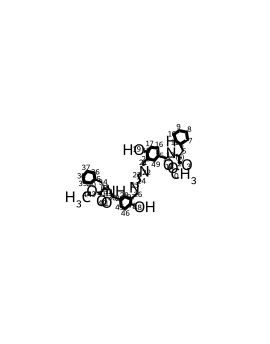 COC(=O)[C@H](Cc1ccccc1)NC(=O)c1ccc(O)c(C=NCCN=Cc2cc(C(=O)N[C@@H](Cc3ccccc3)C(=O)OC)ccc2O)c1